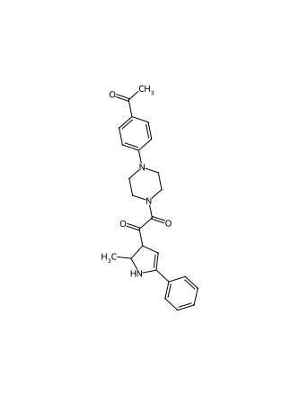 CC(=O)c1ccc(N2CCN(C(=O)C(=O)C3C=C(c4ccccc4)NC3C)CC2)cc1